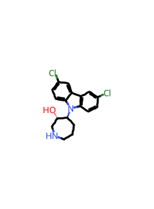 O[C@H]1CNCCC[C@@H]1n1c2ccc(Cl)cc2c2cc(Cl)ccc21